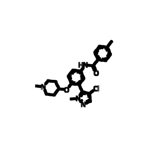 Cc1ccc(C(=O)Nc2ccc(OC3CCN(C)CC3)c(-c3c(Cl)cnn3C)c2)cc1